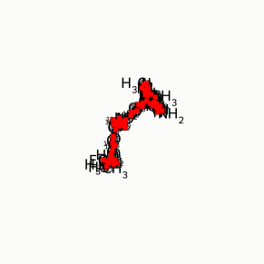 CCOCc1nc2c(NC(=O)OCc3ccc(OC(=O)CCCCC(=O)N4Cc5ccccc5-c5c(nnn5CCOc5ccc(C(=O)Oc6ccc(CS[P@]7(=O)OC[C@H]8O[C@@H](n9cnc%10c(N)ncnc%109)[C@H](F)[C@@H]8O[P@@](C)(=O)OC[C@H]8O[C@@H](n9cnc%10c(C)ncnc%109)[C@H](F)[C@@H]8O7)cc6)cc5)-c5ccccc54)cc3)nc3ccccc3c2n1CC(C)(C)O